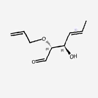 C=CCO[C@@H](C=O)[C@H](O)/C=C/C